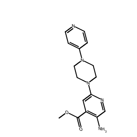 COC(=O)c1cc(N2CCN(c3ccncc3)CC2)ncc1N